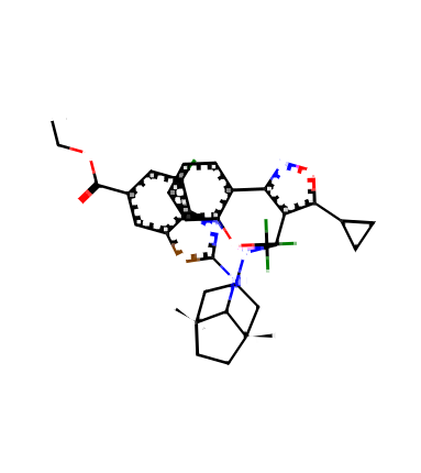 CCOC(=O)c1cc(F)c2nc(NC3[C@@H]4CC[C@H]3CC(NCc3c(-c5ccccc5OC(F)(F)F)noc3C3CC3)C4)sc2c1